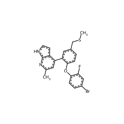 CSCc1ccc(Oc2ccc(Br)cc2F)c(-c2cc(C)nc3[nH]ccc23)c1